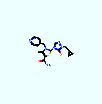 CC1=C(C(N)=O)SC(n2cnn(CC3CC3)c2=O)N1Cc1ccncc1